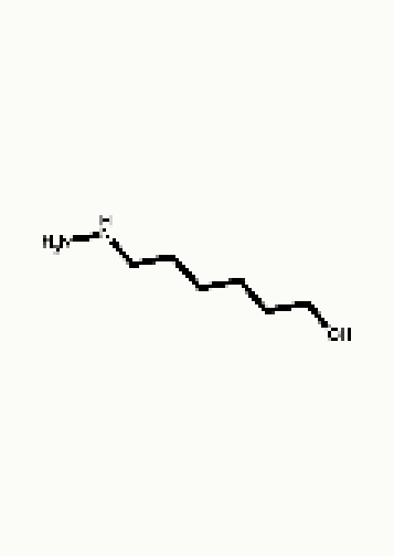 NNCCCCCCO